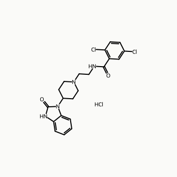 Cl.O=C(NCCN1CCC(n2c(=O)[nH]c3ccccc32)CC1)c1cc(Cl)ccc1Cl